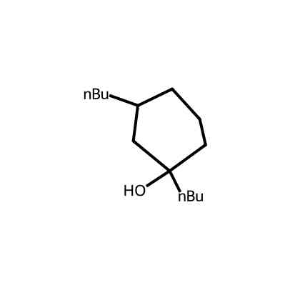 CCCCC1CCCC(O)(CCCC)C1